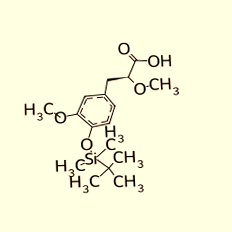 COc1cc(C[C@H](OC)C(=O)O)ccc1O[Si](C)(C)C(C)(C)C